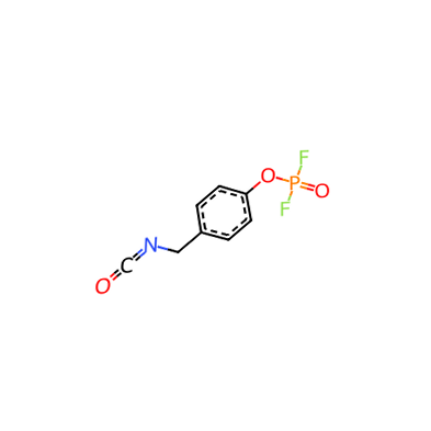 O=C=NCc1ccc(OP(=O)(F)F)cc1